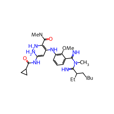 CCC(C)CC(CC)C(=N)N(C)C(=N)c1cccc(NC(/C=C(\N)NC(=O)C2CC2)=C(/N)C(=O)NC)c1OC